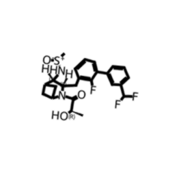 C[C@@H](O)C(=O)N1C2CC(C2)[C@H](N[S+](C)[O-])[C@@H]1Cc1cccc(-c2cccc(C(F)F)c2)c1F